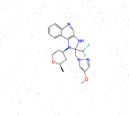 COc1cnn(CC2(C(F)F)Nc3cnc4ccccc4c3N2[C@@H]2CCO[C@H](C)C2)c1